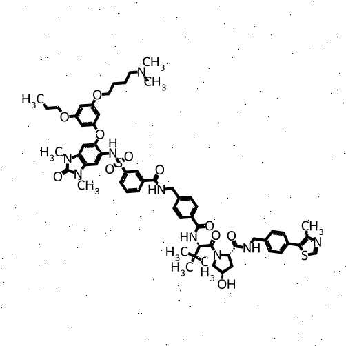 CCCOc1cc(OCCCCN(C)C)cc(Oc2cc3c(cc2NS(=O)(=O)c2cccc(C(=O)NCc4ccc(C(=O)N[C@H](C(=O)N5C[C@H](O)C[C@H]5C(=O)NCc5ccc(-c6scnc6C)cc5)C(C)(C)C)cc4)c2)n(C)c(=O)n3C)c1